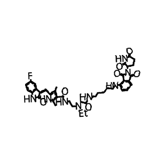 CCN(CCNC(=O)c1c(C)[nH]c(/C=C2\C(=O)Nc3ccc(F)cc32)c1C)CC(=O)NCCCCCNc1cccc2c1C(=O)N(C1CCC(=O)NC1=O)C2=O